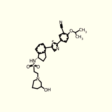 CC(C)Oc1ccc(-c2ncc(-c3cccc4c3CC[C@@H]4NS(=O)(=O)CCN3CCCC(O)C3)s2)cc1C#N